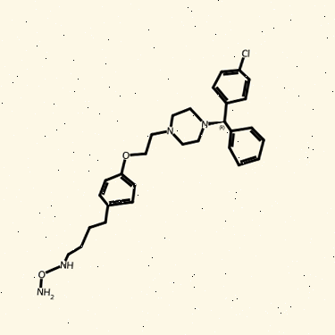 NONCCCCc1ccc(OCCN2CCN([C@H](c3ccccc3)c3ccc(Cl)cc3)CC2)cc1